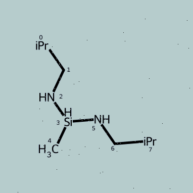 CC(C)CN[SiH](C)NCC(C)C